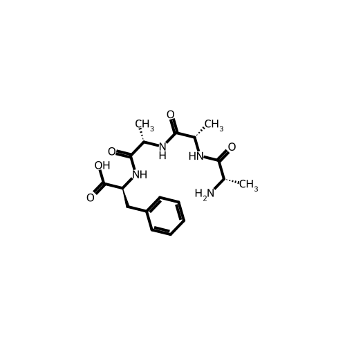 C[C@H](N)C(=O)N[C@@H](C)C(=O)N[C@@H](C)C(=O)N[C@@H](Cc1ccccc1)C(=O)O